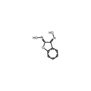 ON=C1Oc2ccccc2C1=NO